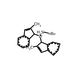 CCCC[SiH2][Zr]([CH]1C(C)=Cc2ccccc21)[CH]1C(C)=Cc2ccccc21